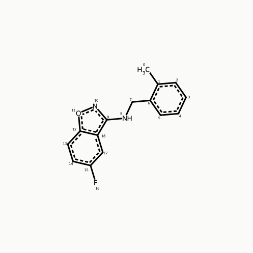 Cc1ccccc1CNc1noc2ccc(F)cc12